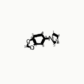 c1cn(-c2ccc3c(c2)OCO3)cn1